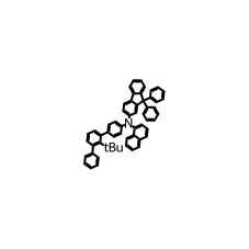 CC(C)(C)c1c(-c2ccccc2)cccc1-c1ccc(N(c2ccc3c(c2)C(c2ccccc2)(c2ccccc2)c2ccccc2-3)c2cccc3ccccc23)cc1